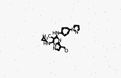 Cc1c(Nc2ccc(-n3cccn3)cc2)nc2c(C=O)cnn2c1NC1CC1